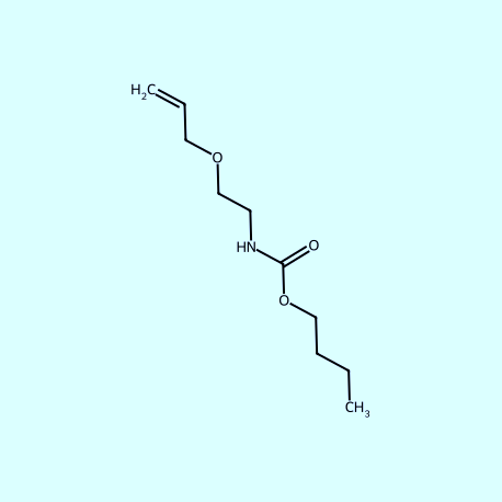 C=CCOCCNC(=O)OCCCC